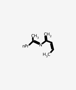 C=C(/C=C\C)/N=C(\C)CCC